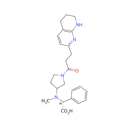 CN(C1CCN(C(=O)CCc2ccc3c(n2)NCCC3)C1)[C@@H](C(=O)O)c1ccccc1